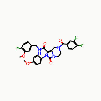 COc1ccc(-n2c(C(=O)NCc3ccc(F)c(OC)c3)c3n(c2=O)CCN(C(=O)c2ccc(Cl)c(Cl)c2)C3)cc1